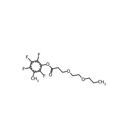 CCCOCCOCCC(=O)Oc1c(F)c(C)c(F)c(F)c1F